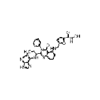 CCC(Nc1ncnc2[nH]cnc12)c1nc2cccc(NCc3ccc(C(=O)NO)o3)c2c(=O)n1-c1ccccc1